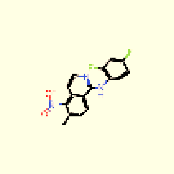 Cc1ccc2c(Nc3ccc(F)cc3F)nccc2c1[N+](=O)[O-]